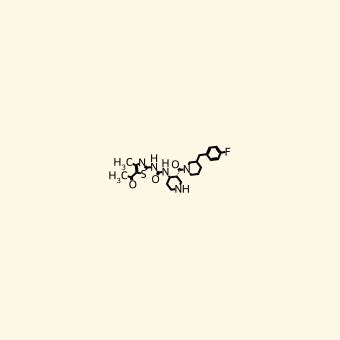 CC(=O)c1sc(NC(=O)N[C@@H]2CCNC[C@H]2C(=O)N2CCCC(Cc3ccc(F)cc3)C2)nc1C